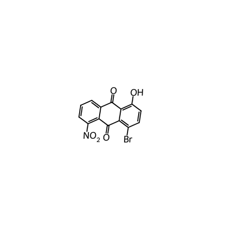 O=C1c2cccc([N+](=O)[O-])c2C(=O)c2c(Br)ccc(O)c21